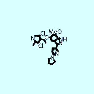 COc1cc2[nH]nc(-c3ccc(N4CCCC4)nc3)c2cc1OC(C)c1c(Cl)cnc(C)c1Cl